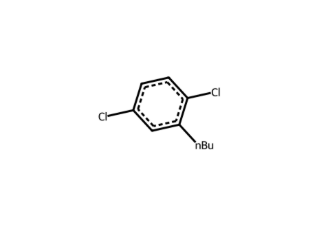 CCCCc1cc(Cl)ccc1Cl